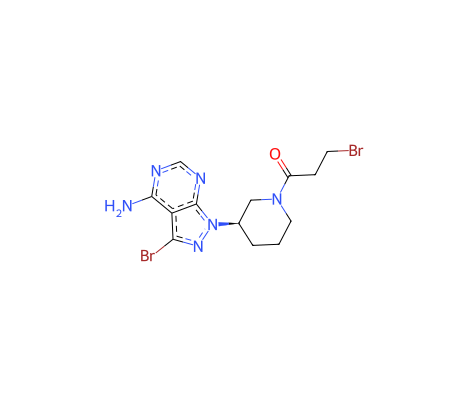 Nc1ncnc2c1c(Br)nn2[C@@H]1CCCN(C(=O)CCBr)C1